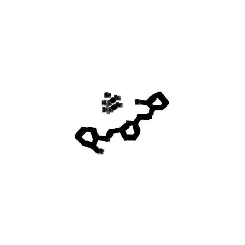 CC(C)=O.CC(C)=O.CC(C)c1ccccc1N=Cc1cccc(C=Nc2ccccc2C(C)C)n1.[Fe]